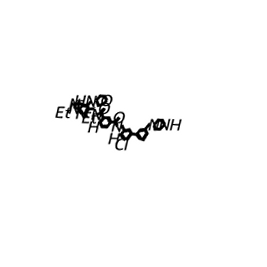 CCc1nc2c(cnn2CC)c(NC2CCOCC2)c1CNC(=O)c1cccc(C(=O)NCc2cc(Cl)cc(-c3cccc(CN4CCNCC4)c3)c2)c1